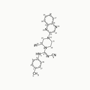 Cc1ccc(N/C(=N/C#N)N2CCN(c3cnc4ccccc4n3)CC2C(C)C)cc1